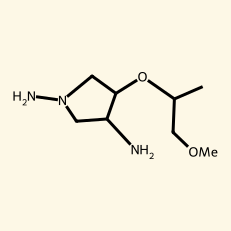 COCC(C)OC1CN(N)CC1N